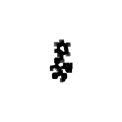 COC(=O)[C@@H](NCl)[C@@H](C)OCc1ccccc1